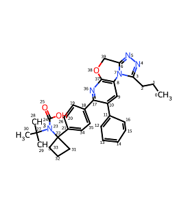 CCCc1nnc2n1-c1cc(-c3ccccc3)c(-c3ccc(C4(N(C(=O)O)C(C)(C)C)CCC4)cc3)nc1OC2